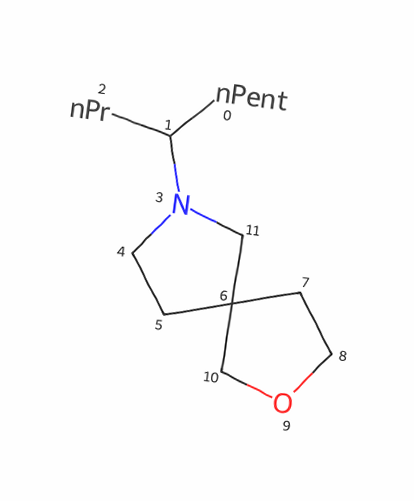 CCCCCC(CCC)N1CCC2(CCOC2)C1